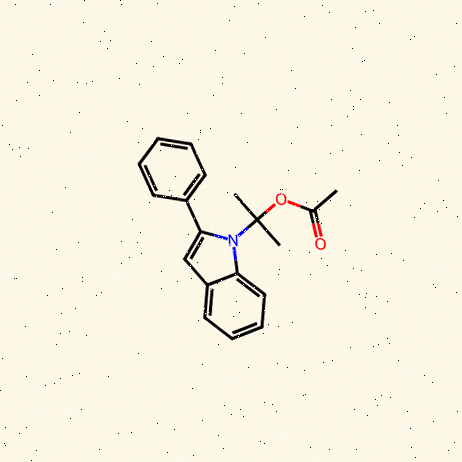 CC(=O)OC(C)(C)n1c(-c2ccccc2)cc2ccccc21